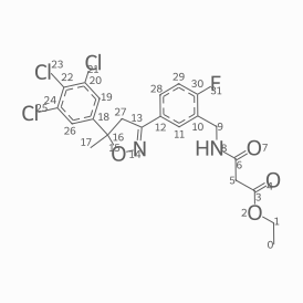 CCOC(=O)CC(=O)NCc1cc(C2=NOC(C)(c3cc(Cl)c(Cl)c(Cl)c3)C2)ccc1F